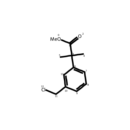 COC(=O)C(C)(C)c1cccc(CCl)c1